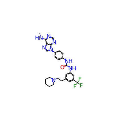 CNc1ncnc2c1ncn2-c1ccc(NC(=O)Nc2cc(CCN3CCCCC3)cc(C(F)(F)F)c2)cc1